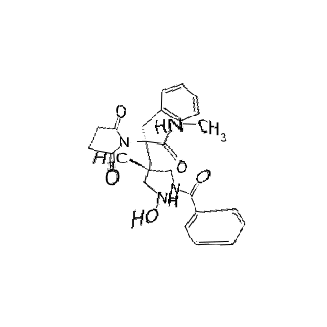 CNC(=O)[C@](Cc1ccccc1)(N1C(=O)CCC1=O)[C@@](C)(CNO)CNC(=O)c1ccccc1